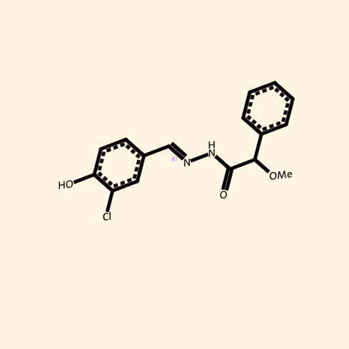 COC(C(=O)N/N=C/c1ccc(O)c(Cl)c1)c1ccccc1